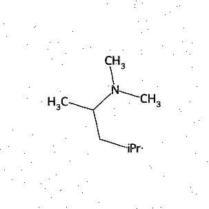 C[C](C)CC(C)N(C)C